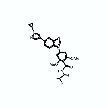 COc1cc(-n2cnc3cc(-c4cnn(C5CC5)c4)ccc32)cc(OC)c1C(=O)NC(F)C(F)F